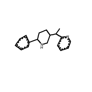 CC(c1ccccn1)C1CCC(c2ccccc2)NC1